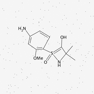 COc1cc(N)ccc1S1(=O)=C(O)C(C)(C)N1